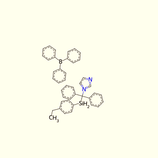 CCc1ccc([SiH2]C(c2ccccc2)(c2ccccc2)n2ccnc2)cc1.c1ccc(B(c2ccccc2)c2ccccc2)cc1